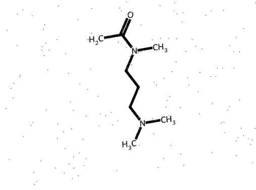 [CH2]C(=O)N(C)CCCN(C)C